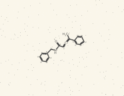 CC(=C=CC(=O)NCc1ccccc1)c1ccccc1